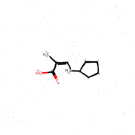 CC(=C[SiH2]C1CCCC1)C(=O)O